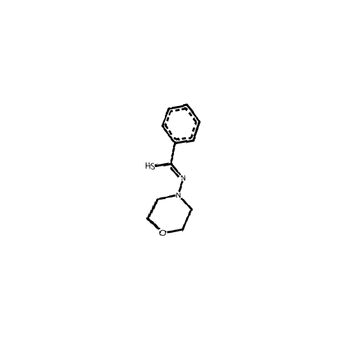 S/C(=N\N1CCOCC1)c1ccccc1